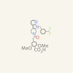 COc1cc(CC(=O)N2CCc3c(n(Cc4cccc(C(F)F)c4)c4ncccc34)C2)cc(OC)c1C(=O)O